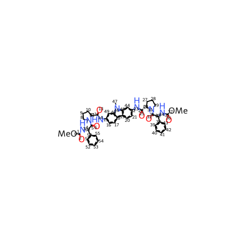 COC(=O)N[C@H](C(=O)N1CCC[C@H]1C(=O)Nc1ccc2c3ccc(NC(=O)[C@@H]4CCCN4C(=O)[C@@H](NC(=O)OC)c4ccccc4)cc3n(C)c2c1)c1ccccc1